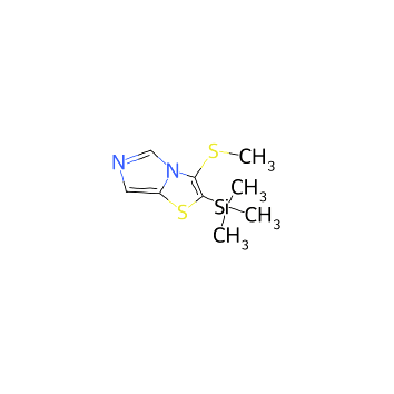 CSc1c([Si](C)(C)C)sc2cncn12